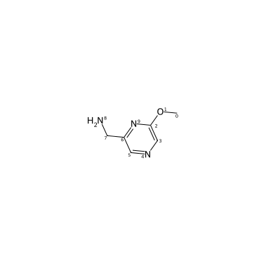 COc1cncc(CN)n1